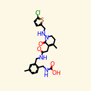 CC1=C(CC(=O)NCc2cc(C)ccc2CNC(=O)O)C(=O)N(NCc2ccc(Cl)s2)CC1